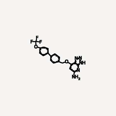 Nc1cc(OCc2ccc(-c3ccc(OC(F)(F)F)cc3)cc2)c2nn[nH]c2n1